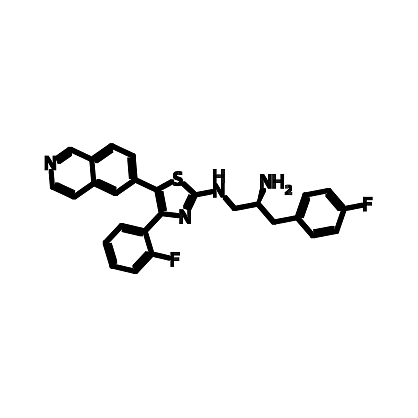 N[C@H](CNc1nc(-c2ccccc2F)c(-c2ccc3cnccc3c2)s1)Cc1ccc(F)cc1